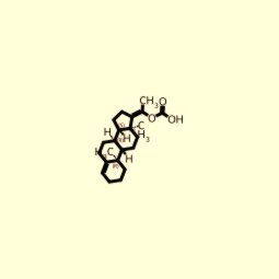 CC(OC(=O)O)=C1CC[C@H]2[C@@H]3CCC4=CCCC[C@]4(C)[C@H]3CC[C@]12C